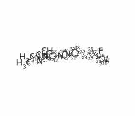 C=CN(/C=N\N(C)C(C)CC)c1ccc(N2CCN(c3ccc(CC[C@@H]4CCC(c5ccc(F)cc5F)C4)cc3)CC2)cc1